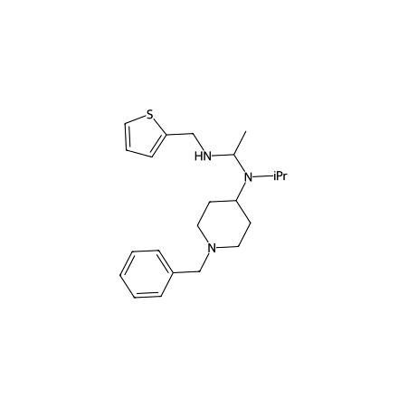 CC(C)N(C1CCN(Cc2ccccc2)CC1)C(C)NCc1cccs1